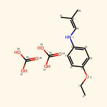 CCOc1ccc(NC=C(C)C)cc1.O=C(O)O.O=C(O)O